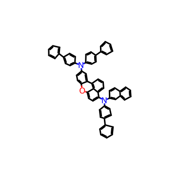 c1ccc(-c2ccc(N(c3ccc(-c4ccccc4)cc3)c3ccc4c(c3)-c3cccc5c(N(c6ccc(-c7ccccc7)cc6)c6ccc7ccccc7c6)ccc(c35)O4)cc2)cc1